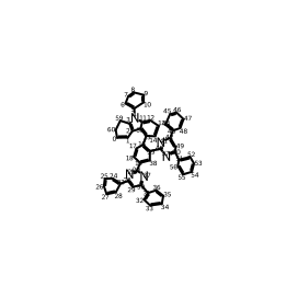 C1=Cc2c(n(-c3ccccc3)c3cccc(-c4ccc(-c5nc(-c6ccccc6)cc(-c6ccccc6)n5)cc4-c4nc(-c5ccccc5)cc(-c5ccccc5)n4)c23)CC1